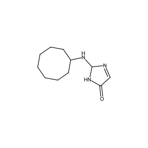 O=C1C=NC(NC2CCCCCCC2)N1